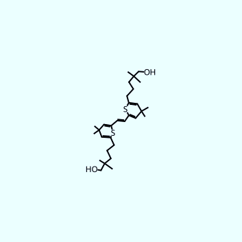 CC1(C)C=C(/C=C/C2=CC(C)(C)C=C(CCCC(C)(C)CO)S2)SC(CCCC(C)(C)CO)=C1